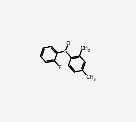 Cc1ccc([S+]([O-])c2ccccc2F)c(C)c1